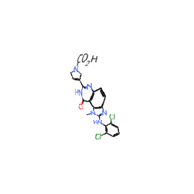 Cn1c(Nc2c(Cl)cccc2Cl)nc2ccc3nc(C4=CCN(C(=O)O)C4)[nH]c(=O)c3c21